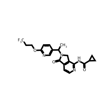 CC(c1ccc(OCCC(F)(F)F)nc1)N1Cc2c(ccnc2NC(=O)C2CC2)C1=O